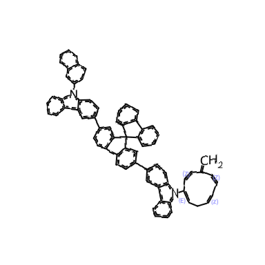 C=C1/C=C\C=C/C/C=C(n2c3ccccc3c3cc(-c4ccc5c(c4)C4(c6ccccc6-c6ccccc64)c4cc(-c6ccc7c(c6)c6ccccc6n7-c6ccc7ccccc7c6)ccc4-5)ccc32)\C=C/1